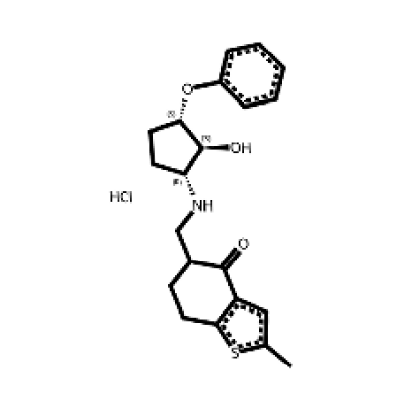 Cc1cc2c(s1)CCC(CN[C@@H]1CC[C@H](Oc3ccccc3)[C@H]1O)C2=O.Cl